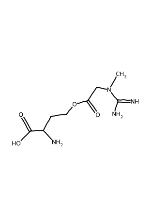 CN(CC(=O)OCCC(N)C(=O)O)C(=N)N